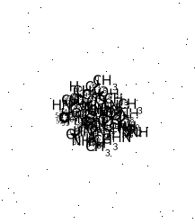 CC[C@H](C)CC(=O)O[C@@H](C)[C@@H](NC(=O)[C@H](CO)NC(=O)[C@@H](NC(=O)[C@H](NC(=O)[C@@H](CCC(N)=O)NC(=O)[C@H](CO)NC(=O)[C@@H](NC(=O)[C@@H](Cc1ccccc1)NC)[C@@H](C)CC)[C@@H](C)CC)[C@@H](C)CC)C(=O)N[C@@H](C)C(=O)N[C@@H](C[C@H]1CNC(=N)N1)C(N)=O